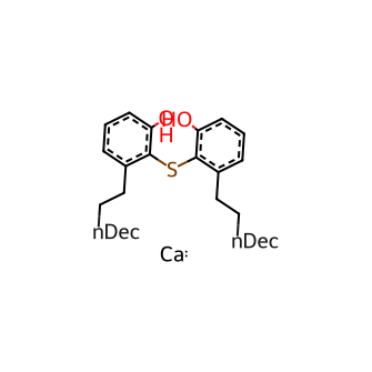 CCCCCCCCCCCCc1cccc(O)c1Sc1c(O)cccc1CCCCCCCCCCCC.[Ca]